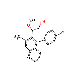 CCCCOC(CO)c1c(C)cc2ccccc2c1-c1ccc(Cl)cc1